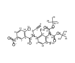 C#CCN(C(=O)c1cc([N+](=O)[O-])ccc1Cl)c1ccc(F)c(N(C(=O)OC(C)(C)C)C(=O)OC(C)(C)C)c1F